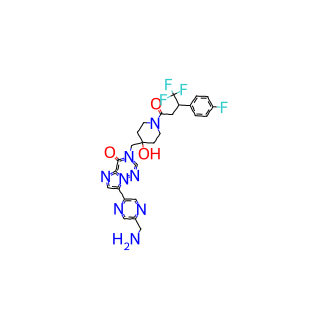 NCc1cnc(-c2cnc3c(=O)n(CC4(O)CCN(C(=O)CC(c5ccc(F)cc5)C(F)(F)F)CC4)cnn23)cn1